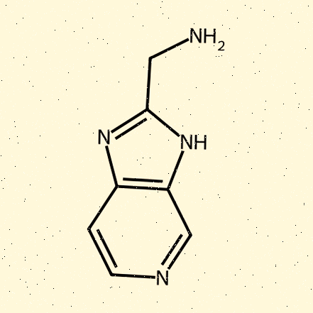 NCc1nc2ccncc2[nH]1